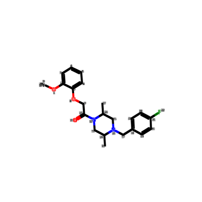 CC(C)Oc1ccccc1OCC(=O)N1CC(C)N(Cc2ccc(F)cc2)CC1C